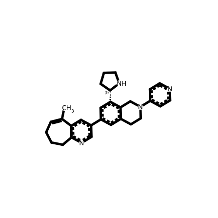 CC1=CCCCc2ncc(-c3cc4c(c([C@@H]5CCCN5)c3)CN(c3ccncc3)CC4)cc21